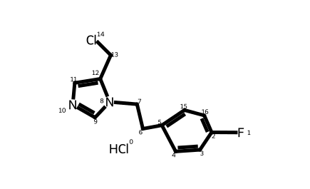 Cl.Fc1ccc(CCn2cncc2CCl)cc1